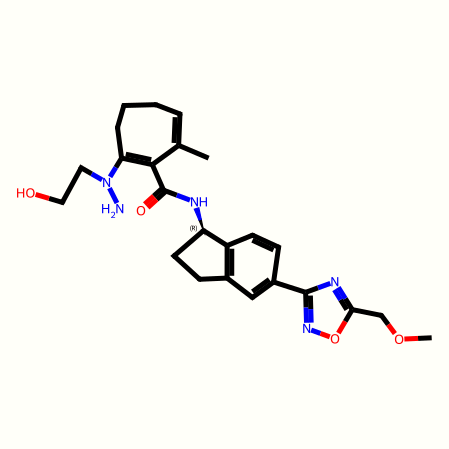 COCc1nc(-c2ccc3c(c2)CC[C@H]3NC(=O)C2=C(N(N)CCO)CCCC=C2C)no1